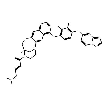 Cc1c(Oc2ccn3ncnc3c2)ccc(Nc2ncnc3cc4c(nc23)N2CCN(C(=O)/C=C/CN(C)C)[C@H](CO4)C2)c1F